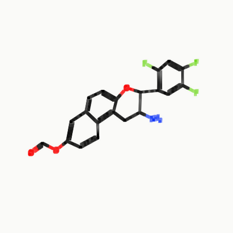 NC1Cc2c(ccc3cc(OC=O)ccc23)OC1c1cc(F)c(F)cc1F